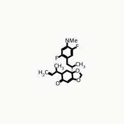 C=CC(C)C1C[C@@]2(C(C)Cc3cc(F)c(NC)cc3F)OCOC2=CC1=O